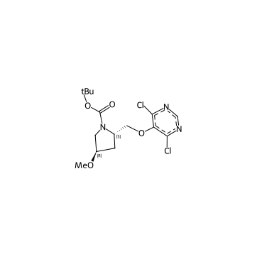 CO[C@@H]1C[C@@H](COc2c(Cl)ncnc2Cl)N(C(=O)OC(C)(C)C)C1